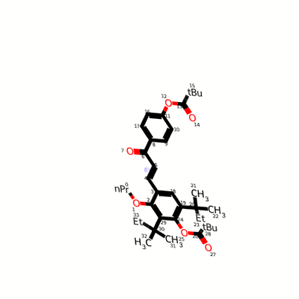 CCCOc1c(/C=C/C(=O)c2ccc(OC(=O)C(C)(C)C)cc2)cc(C(C)(C)CC)c(OC(=O)C(C)(C)C)c1C(C)(C)CC